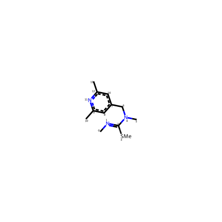 CN=C(SC)N(C)Cc1cc(C)nc(C)c1